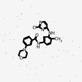 Cc1ccc(NC(=O)c2cccc(N3CCOCC3)c2)cc1Nc1ccnc(Cl)n1